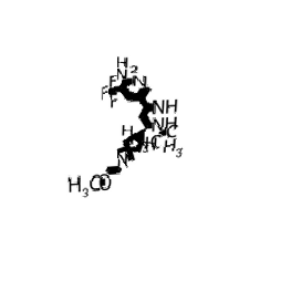 COCCN1CC2(C[C@@H]3[C@H](C2)[C@H]3/C(=C/C(=N)c2cnc(N)c(C(F)(F)F)c2)NC(C)C)C1